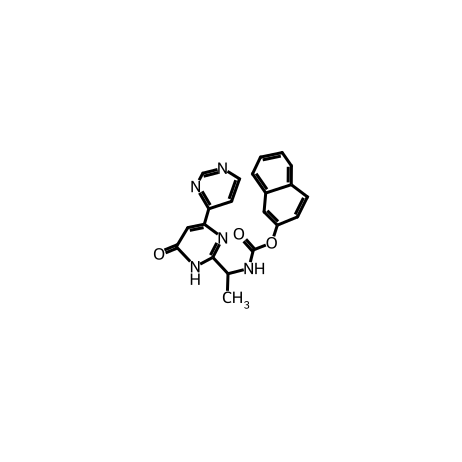 CC(NC(=O)Oc1ccc2ccccc2c1)c1nc(-c2ccncn2)cc(=O)[nH]1